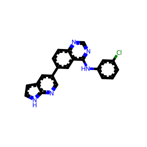 Clc1cccc(Nc2ncnc3ccc(-c4cnc5[nH]ccc5c4)cc23)c1